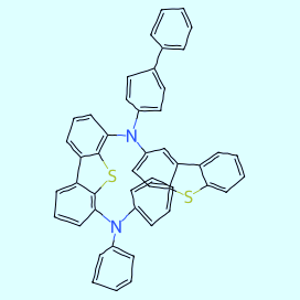 c1ccc(-c2ccc(N(c3ccc4sc5ccccc5c4c3)c3cccc4c3sc3c(N(c5ccccc5)c5ccccc5)cccc34)cc2)cc1